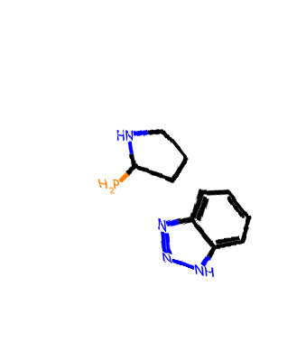 PC1CCCN1.c1ccc2[nH]nnc2c1